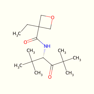 CCC1(C(=O)N[C@H](C(=O)C(C)(C)C)C(C)(C)C)COC1